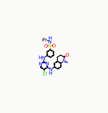 CC(C)NS(=O)(=O)c1cccc(Nc2ncc(Cl)c(Nc3ccc4c(c3)CCC(=O)N4C)n2)c1